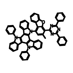 Cc1cc(-n2c3ccccc3c3c4c(c5ccccc5n4-c4ccccc4)c4c(c5ccccc5n4-c4ccccc4)c32)c2c(oc3ccccc32)c1-c1nc(-c2ccccc2)nc(-c2ccccc2)n1